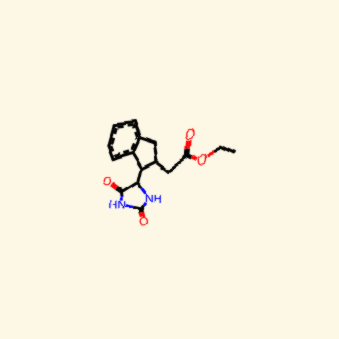 CCOC(=O)CC1Cc2ccccc2C1C1NC(=O)NC1=O